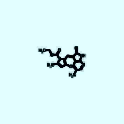 CCOC(=O)n1c(C)cc(C)c1C=C1C(=O)Nc2ncc(N)cc21